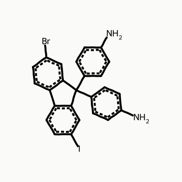 Nc1ccc(C2(c3ccc(N)cc3)c3cc(Br)ccc3-c3ccc(I)cc32)cc1